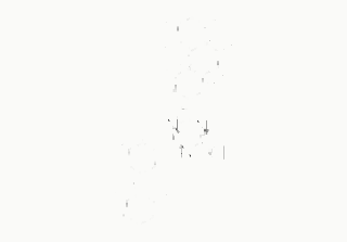 Clc1nc(-c2cccc(-c3ccccc3)c2)nc(-c2ccc3c(ccc4ccccc43)c2)n1